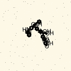 O=C1CCC(N2Cc3ccc(C(C(O)CO)N4CCN(c5ccc(N(C(=O)NCc6ccccc6)C6CCC(Nc7ncc8ccccc8n7)CC6)cc5)CC4)cc3C2=O)C(=O)N1